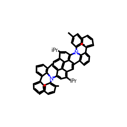 Cc1ccc(C)c(N(c2c(C)cccc2-c2ccccc2)c2cc(C(C)C)c3ccc4c(N(c5cc(C)ccc5C)c5c(C)cccc5-c5ccccc5)cc(C(C)C)c5ccc2c3c54)c1